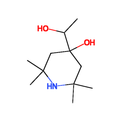 CC(O)C1(O)CC(C)(C)NC(C)(C)C1